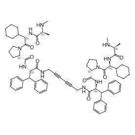 CN[C@@H](C)C(=O)N[C@H](C(=O)N1CCC[C@H]1C(=O)N[C@H](C(=O)NCC#CC#CCNC(=O)[C@@H](NC(=O)[C@@H]1CCCN1C(=O)[C@@H](NC(=O)[C@H](C)NC)C1CCCCC1)C(c1ccccc1)c1ccccc1)C(c1ccccc1)c1ccccc1)C1CCCCC1